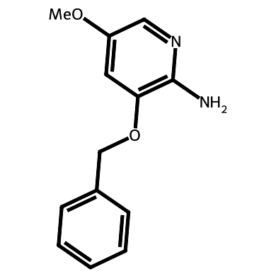 COc1cnc(N)c(OCc2ccccc2)c1